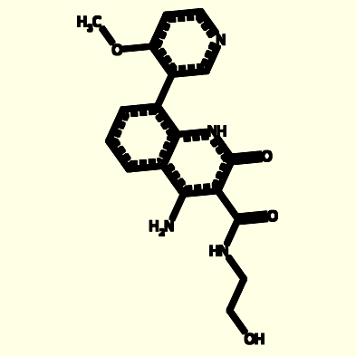 COc1ccncc1-c1cccc2c(N)c(C(=O)NCCO)c(=O)[nH]c12